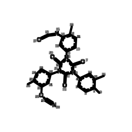 Cc1ccc(-n2c(=O)n(-c3ccc(C)c(N=C=O)c3)c(=O)n(-c3ccc(C)c(OC#N)c3)c2=O)cc1C